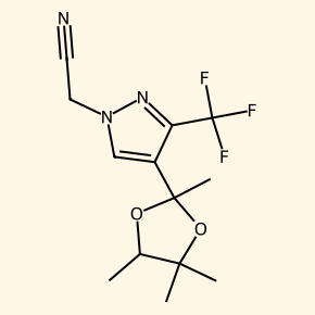 CC1OC(C)(c2cn(CC#N)nc2C(F)(F)F)OC1(C)C